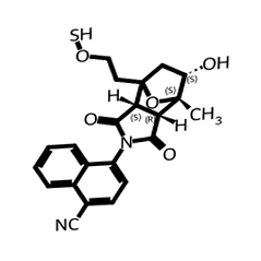 C[C@@]12OC(CCOS)(C[C@@H]1O)[C@H]1C(=O)N(c3ccc(C#N)c4ccccc34)C(=O)[C@H]12